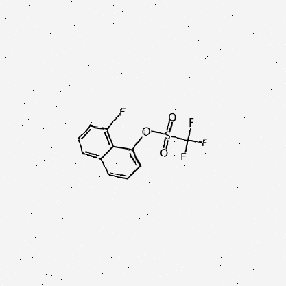 O=S(=O)(Oc1cccc2cccc(F)c12)C(F)(F)F